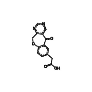 O=C(O)Cc1ccc2c(c1)C(=O)c1cncnc1CO2